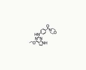 CCOc1nc(Nc2ccc(C(=O)N3CCOCC3)cc2)nc2[nH]ccc12